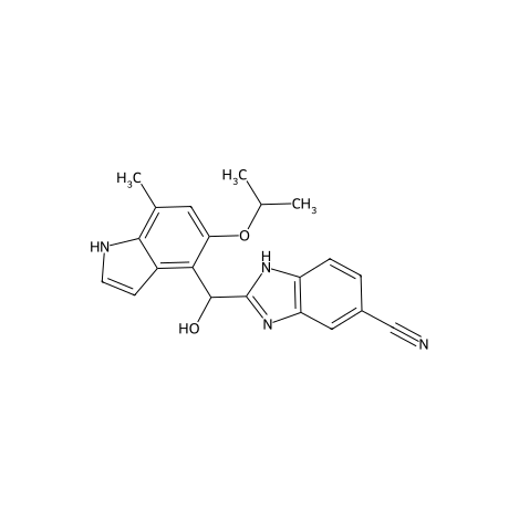 Cc1cc(OC(C)C)c(C(O)c2nc3cc(C#N)ccc3[nH]2)c2cc[nH]c12